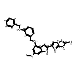 COc1cc(OCc2cccc(OCc3ccccc3)c2)c2cc(-c3cn4nc(Cl)sc4n3)oc2c1